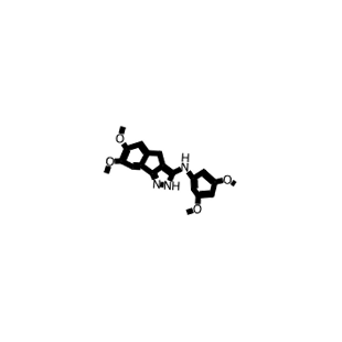 COc1cc(Nc2[nH]nc3c2Cc2cc(OC)c(OC)cc2-3)cc(OC)c1